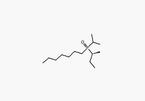 CCCCCCCP(=O)(C(C)C)[C@@H](C)CC